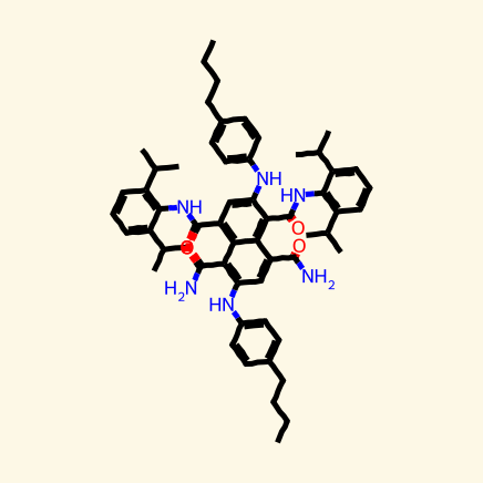 CCCCc1ccc(Nc2cc(C(N)=O)c3c(C(=O)Nc4c(C(C)C)cccc4C(C)C)c(Nc4ccc(CCCC)cc4)cc(C(=O)Nc4c(C(C)C)cccc4C(C)C)c3c2C(N)=O)cc1